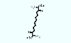 CCCCN(C)C(=O)CCCCCCCCC(=O)N(C)CCCC